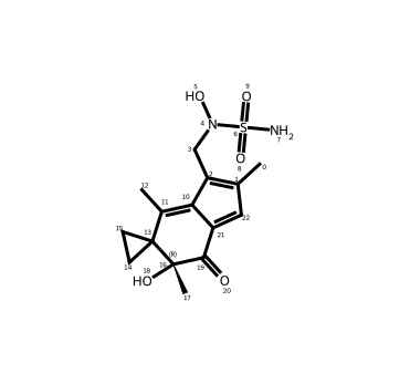 CC1=C(CN(O)S(N)(=O)=O)C2=C(C)C3(CC3)[C@@](C)(O)C(=O)C2=C1